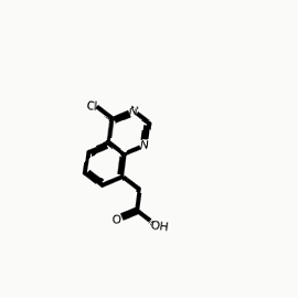 O=C(O)Cc1cccc2c(Cl)ncnc12